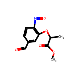 COC(=O)C(C)Oc1cc(C=O)ccc1N=O